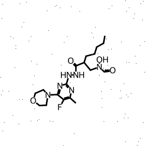 CCCCCC(CN(O)C=O)C(=O)NNc1nc(C)c(F)c(N2CCOCC2)n1